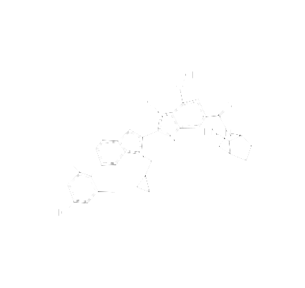 COc1cc(C(=O)N2CC3CCC2C3N)cc2nc(-c3cc4ccc(-c5c(F)cc(O)cc5F)cc4n3CC3CC3)n(C)c12